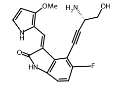 COc1cc[nH]c1C=C1C(=O)Nc2ccc(F)c(C#C[C@H](N)CO)c21